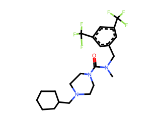 CN(Cc1cc(C(F)(F)F)cc(C(F)(F)F)c1)C(=O)N1CCN(CC2CCCCC2)CC1